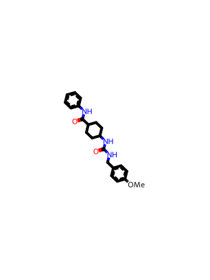 COc1ccc(CNC(=O)NC2CCC(C(=O)Nc3ccccc3)CC2)cc1